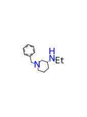 CCN[C@@H]1CCCN(Cc2ccccc2)C1